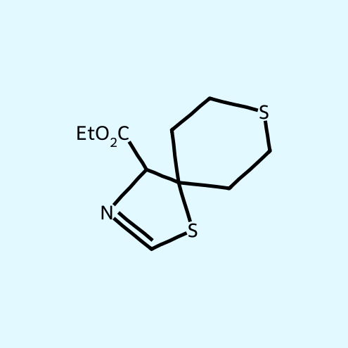 CCOC(=O)C1N=CSC12CCSCC2